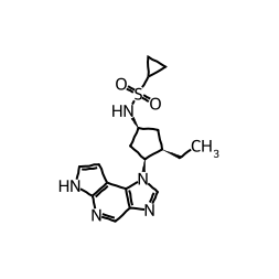 CC[C@@H]1C[C@H](NS(=O)(=O)C2CC2)C[C@@H]1n1cnc2cnc3[nH]ccc3c21